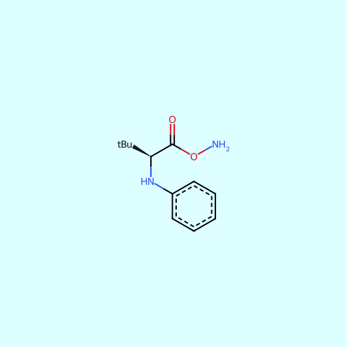 CC(C)(C)[C@H](Nc1ccccc1)C(=O)ON